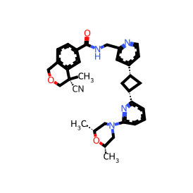 C[C@@H]1CN(c2cccc([C@H]3C[C@@H](c4ccnc(CNC(=O)c5ccc6c(c5)[C@](C)(C#N)COC6)c4)C3)n2)C[C@H](C)O1